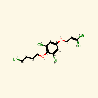 Clc1cc(OCC=C(Br)Br)cc(Br)c1OCCCCBr